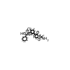 CC(C)(N)Cn1c(=O)cnn(-c2ccc(Cl)c(C(=O)NC(O)C3CCCCCC3)c2)c1=O